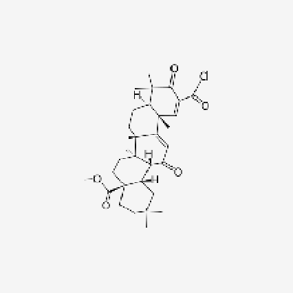 COC(=O)[C@]12CCC(C)(C)C[C@H]1[C@H]1C(=O)C=C3[C@@]4(C)C=C(C(=O)Cl)C(=O)C(C)(C)[C@@H]4CC[C@@]3(C)[C@]1(C)CC2